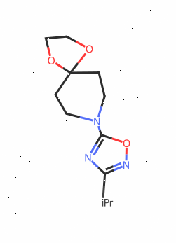 CC(C)c1noc(N2CCC3(CC2)OCCO3)n1